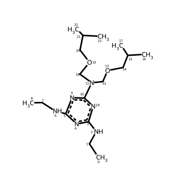 CCNc1nc(NCC)nc(N(COCC(C)C)COCC(C)C)n1